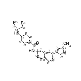 Cn1cc(-c2cc3cc(NC(=O)N4CCC(NC(CF)CF)CC4)ncc3cn2)cn1